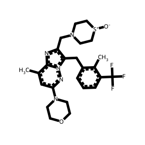 Cc1c(Cc2c(CN3CC[S+]([O-])CC3)nc3c(C)cc(N4CCOCC4)nn23)cccc1C(F)(F)F